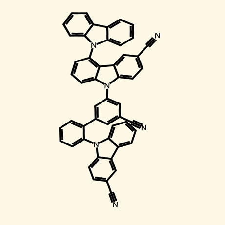 N#Cc1cc(-c2ccccc2-n2c3ccccc3c3cc(C#N)ccc32)cc(-n2c3ccc(C#N)cc3c3c(-n4c5ccccc5c5ccccc54)cccc32)c1